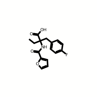 CCC(Cc1ccc(F)cc1)(NC(=O)c1ccco1)C(=O)O